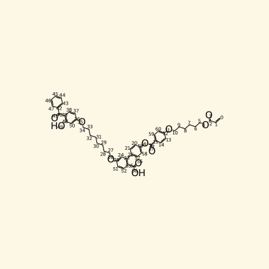 C=CC(=O)OCCCCCCOc1ccc(C(=O)Oc2ccc(-c3cc(OCCCCCCCCOc4ccc(C(=O)c5ccccc5)c(O)c4)ccc3C(=O)O)cc2)cc1